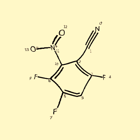 N#Cc1c(F)cc(F)c(F)c1[N+](=O)[O-]